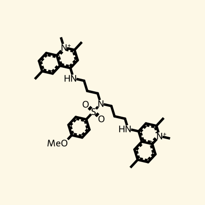 COc1ccc(S(=O)(=O)N(CCCNc2cc(C)[n+](C)c3ccc(C)cc23)CCCNc2cc(C)[n+](C)c3ccc(C)cc23)cc1